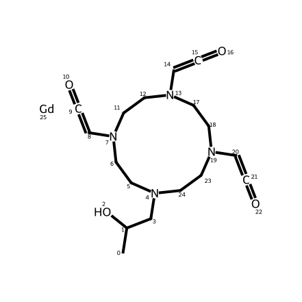 CC(O)CN1CCN(C=C=O)CCN(C=C=O)CCN(C=C=O)CC1.[Gd]